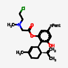 C=C(C)[C@@H]1CCC(C)=C[C@H]1c1c(O)cc(CCCCC)cc1OC(=O)CN(C)CCCl